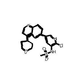 CS(=O)(=O)Nc1cc(-c2ccc3nccc(C4CCOCC4)c3c2)cnc1Cl